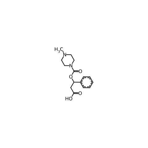 CN1CCN(C(=O)OC(CC(=O)O)c2ccccc2)CC1